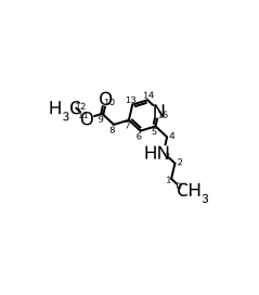 CCCNCc1cc(CC(=O)OC)ccn1